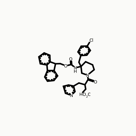 O=C(O)CC(Cc1cccnc1)C(=O)N1CCCC(Cc2ccc(Cl)cc2)(NC(=O)OCC2c3ccccc3-c3ccccc32)C1